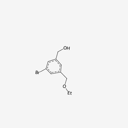 CCOCc1cc(Br)cc(CO)c1